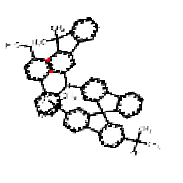 CCc1ccc(-c2ccccc2N(c2ccc3c(c2)-c2ccccc2C3(C)C)c2ccc3c(c2)C2(c4ccccc4-3)c3cc(C(C)(C)C)ccc3-c3ccc(C(C)(C)C)cc32)cc1